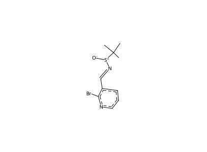 CC(C)(C)[S+]([O-])N=Cc1cccnc1Br